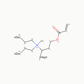 C=CC(=O)OCCC(CCCCCCC)[N+](C)(CCCCCCCCCCCC)CCCCCCCCCCCC